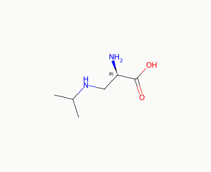 CC(C)NC[C@@H](N)C(=O)O